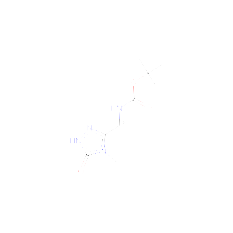 C[C@@H](NC(=O)OC(C)(C)C)c1n[nH]c(=O)n1C